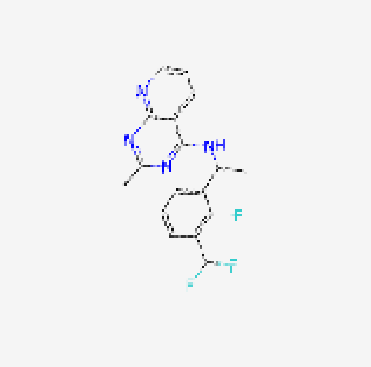 Cc1nc(NC(C)c2cccc(C(F)F)c2F)c2cccnc2n1